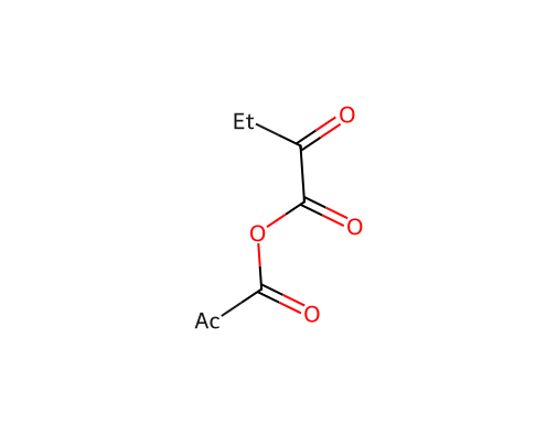 CCC(=O)C(=O)OC(=O)C(C)=O